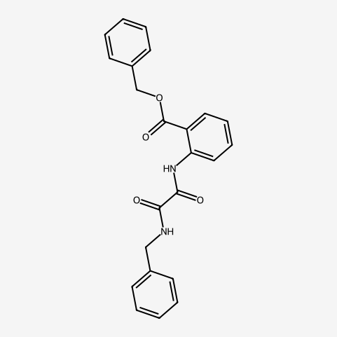 O=C(NCc1ccccc1)C(=O)Nc1ccccc1C(=O)OCc1ccccc1